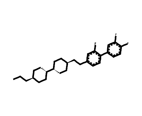 CCC[C@H]1CC[C@H]([C@H]2CC[C@H](CCc3ccc(-c4ccc(F)c(F)c4)c(F)c3)CC2)CC1